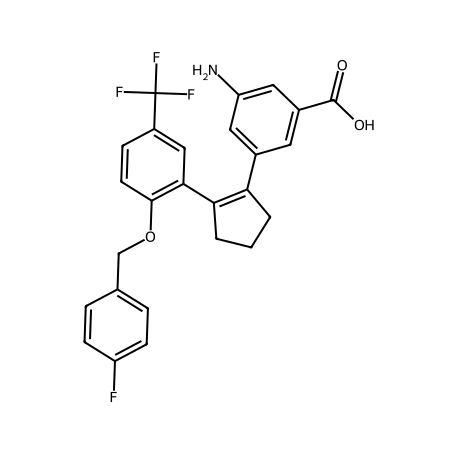 Nc1cc(C(=O)O)cc(C2=C(c3cc(C(F)(F)F)ccc3OCc3ccc(F)cc3)CCC2)c1